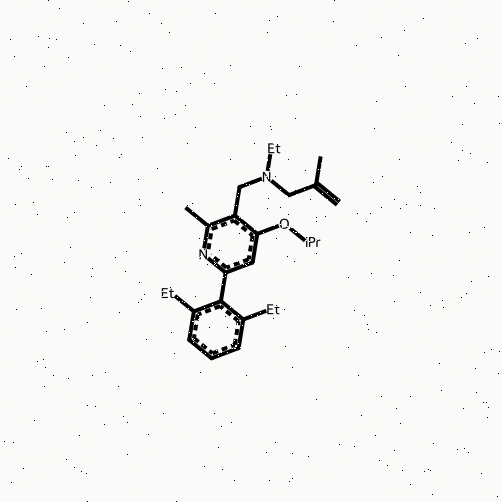 C=C(C)CN(CC)Cc1c(OC(C)C)cc(-c2c(CC)cccc2CC)nc1C